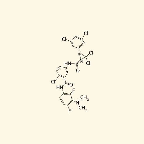 CN(C)c1c(F)ccc(NC(=O)c2cc(NC(=O)[C@H]3[C@H](c4cc(Cl)cc(Cl)c4)C3(Cl)Cl)ccc2Cl)c1F